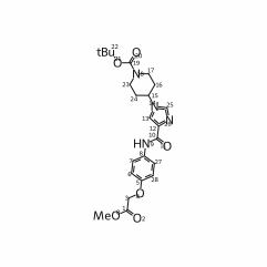 COC(=O)COc1ccc(NC(=O)c2cn(C3CCN(C(=O)OC(C)(C)C)CC3)cn2)cc1